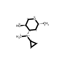 C[C@@H]1C[C@H](N(C)C2CC2)[C@@H](O)CO1